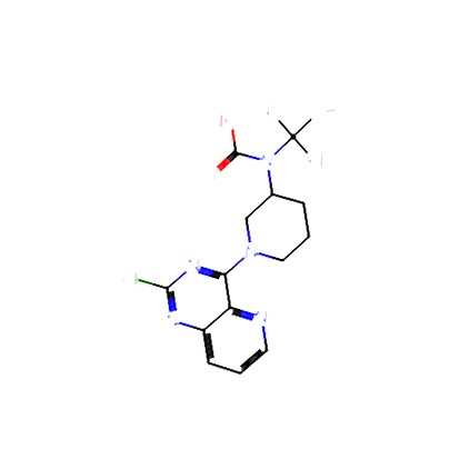 CC(C)(C)N(C(=O)O)C1CCCN(c2nc(Cl)nc3cccnc23)C1